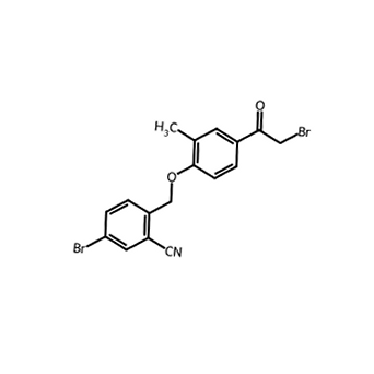 Cc1cc(C(=O)CBr)ccc1OCc1ccc(Br)cc1C#N